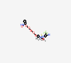 CC1(C)C(=O)N(c2ccc(C#N)c(C(F)(F)F)c2)C(=S)N1c1ccc(OCCOCCOCCOCCO[C@@H]2Cc3ccccc3[C@@H]2NC=O)cc1